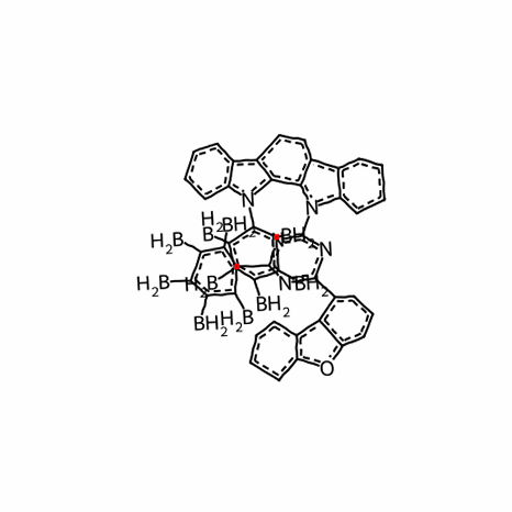 Bc1c(B)c(B)c(-c2nc(-c3cccc4oc5ccccc5c34)nc(-n3c4ccccc4c4ccc5c6ccccc6n(-c6c(B)c(B)c(B)c(B)c6B)c5c43)n2)c(B)c1B